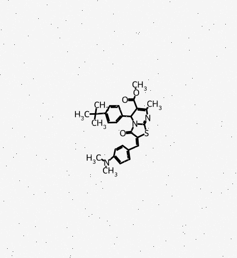 COC(=O)C1=C(C)N=c2s/c(=C/c3ccc(N(C)C)cc3)c(=O)n2C1c1ccc(C(C)(C)C)cc1